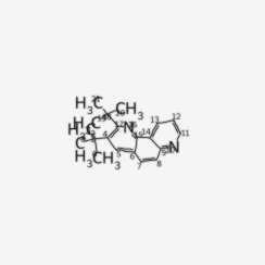 CC(C)(C)c1cc2ccc3ncccc3c2nc1C(C)(C)C